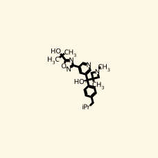 CC(C)Cc1ccc([C@](O)(c2cncc(-c3noc(C(C)(C)O)n3)c2)C2(C)CN(C)C2)cc1